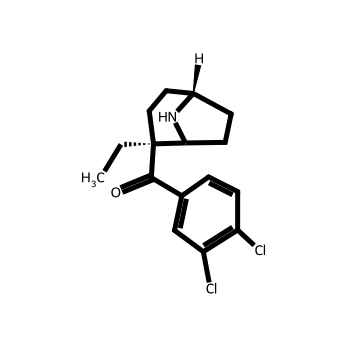 CC[C@]1(C(=O)c2ccc(Cl)c(Cl)c2)CC[C@@H]2CCC1N2